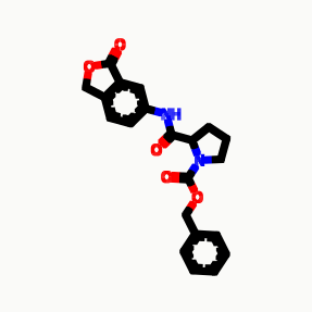 O=C1OCc2ccc(NC(=O)C3CCCN3C(=O)OCc3ccccc3)cc21